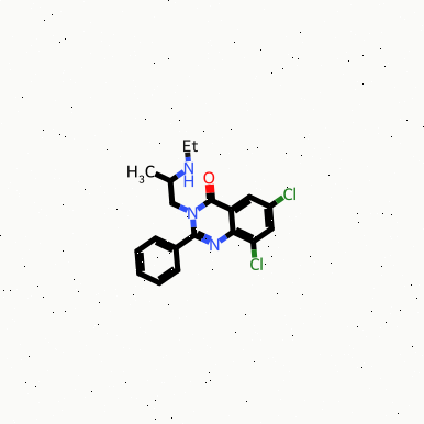 CCNC(C)Cn1c(-c2ccccc2)nc2c(Cl)cc(Cl)cc2c1=O